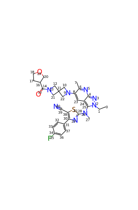 CCn1nc2nc(C)c(N3CC4(CN(C(=O)C5CCOC5)C4)C3)cc2c1N(C)c1nc(-c2ccc(F)cc2)c(C#N)s1